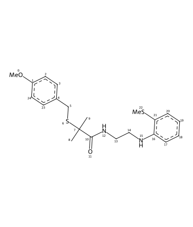 COc1ccc(CSC(C)(C)C(=O)NCCNc2ccccc2SC)cc1